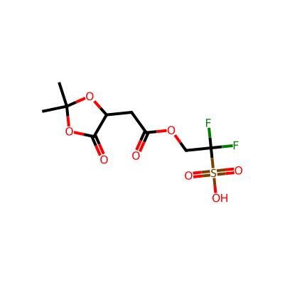 CC1(C)OC(=O)C(CC(=O)OCC(F)(F)S(=O)(=O)O)O1